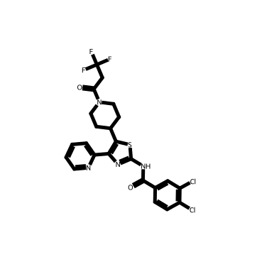 O=C(Nc1nc(-c2ccccn2)c(C2CCN(C(=O)CC(F)(F)F)CC2)s1)c1ccc(Cl)c(Cl)c1